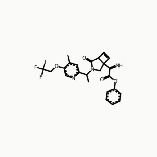 Cc1cc(C(C)N2CC3(C(=N)C(=O)Oc4ccccc4)C=CC3C2=O)ncc1OCC(F)(F)I